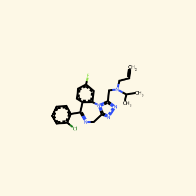 C=CCN(Cc1nnc2n1-c1cc(F)ccc1C(c1ccccc1Cl)=NC2)C(C)C